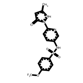 Cc1cc(=O)n(-c2ccc(NS(=O)(=O)c3ccc(OC(F)(F)F)cc3)cn2)[nH]1